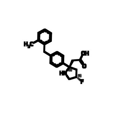 Cc1ccccc1Cc1ccc([C@]2(CC(=O)O)C[C@H](F)CN2)cc1